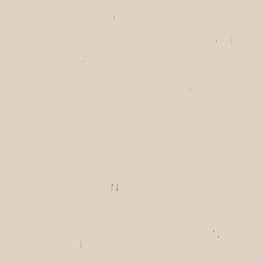 CN1CCC2(CC1)CN(c1ccccc1F)c1ccccc12.O=C(O)C=CC(=O)O